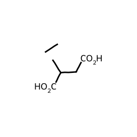 CC.CC(CC(=O)O)C(=O)O